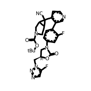 CC(C)(C)OC(=O)N1CC2C(C1)C2(C#N)c1ccncc1-c1ccc(N2C[C@H](Cn3nncc3F)OC2=O)cc1F